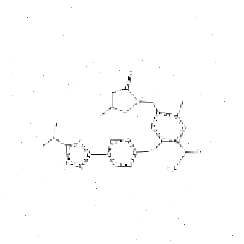 Cc1cc(C(N)=O)c(Oc2ccc(-c3nnc(C(C)C)s3)cc2)cc1CN1CC(C)CC1=O